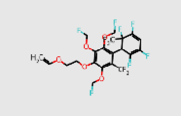 C=COCCOc1c(OCF)c(OCF)c(C2C(F)=C(F)C=C(F)C2(F)C(F)(F)F)c(C(F)(F)F)c1OCF